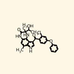 Cc1cc2c(c3c(C(=O)c4ccc(Oc5ccccc5)cc4Cl)c[nH]c13)NC(C)(C(C)O)C(=O)N2